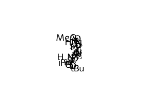 COC(=O)Nc1nccc(-c2ccc(O[C@H](N)C(C)(CC(C)C)C(=O)OC(C)(C)C)c(C)n2)c1F